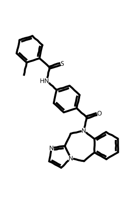 Cc1ccccc1C(=S)Nc1ccc(C(=O)N2Cc3nccn3Cc3ccccc32)cc1